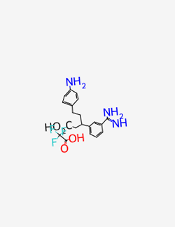 N=C(N)c1cccc(C(CCc2ccc(N)cc2)CC(=O)O)c1.O=C(O)C(F)(F)F